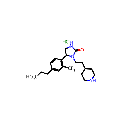 Cl.O=C(O)CCc1ccc(C2CNC(=O)N2CCC2CCNCC2)c(C(F)(F)F)c1